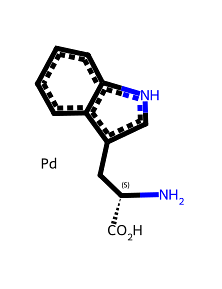 N[C@@H](Cc1c[nH]c2ccccc12)C(=O)O.[Pd]